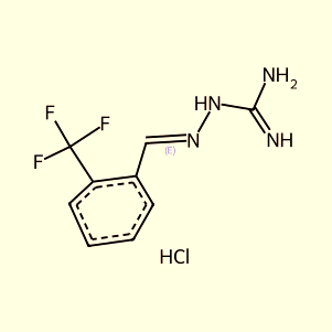 Cl.N=C(N)N/N=C/c1ccccc1C(F)(F)F